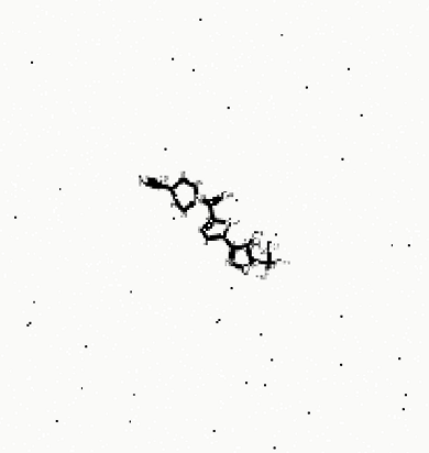 Cc1c(-c2ccc(C(=O)N3CCC(C#N)CC3)s2)noc1C(F)(F)F